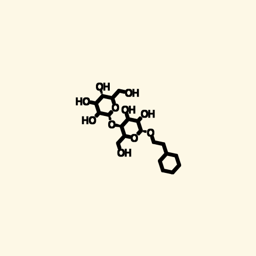 OCC1O[C@H](O[C@@H]2C(CO)O[C@@H](OCCC3CCCCC3)C(O)C2O)C(O)C(O)[C@@H]1O